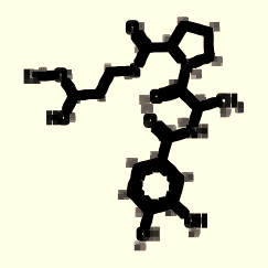 CCOC(O)CCSC(=O)C1CCCN1C(=O)C(C)NC(=O)c1ccc(O)c(O)c1